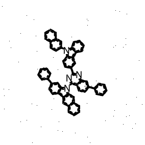 c1ccc(-c2ccc3c(-n4c5cc(-c6ccccc6)ccc5c5cc6ccccc6cc54)nc(-c4ccc5c(c4)c4ccccc4n5-c4ccc5ccccc5c4)nc3c2)cc1